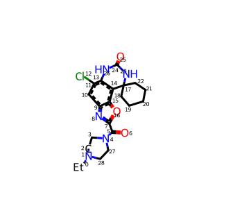 CCN1CCN(C(=O)c2nc3cc(Cl)c4c(c3o2)C2(CCCCC2)NC(=O)N4)CC1